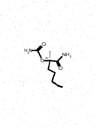 CCCC[C@@](C)(OC(N)=O)C(N)=O